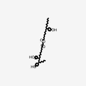 CCCCCCCCC(CCCCCCCCC(=O)OCCOC(=O)CCCCCCCCC(CCC(CCCCC)c1ccc(O)cc1)c1ccc(O)cc1)c1ccc(O)cc1